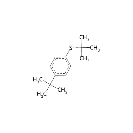 CC(C)(C)Sc1ccc(C(C)(C)C)cc1